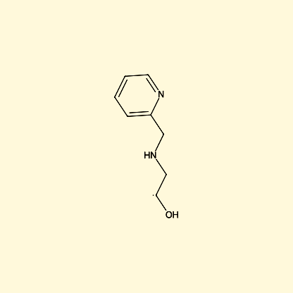 O[CH]CNCc1ccccn1